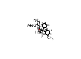 CO/N=C(/C(=NC#N)OC)c1ccccc1C1(c2cccc(C(F)(F)F)c2)ONC1C